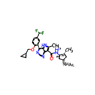 CC(=O)N[C@H]1C[C@@H](C)[C@H](NC(=O)c2c(C)[nH]c3c(-c4cc(C(F)F)ccc4OCC4CC4)ncnc23)C1